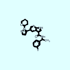 CC(NC(=O)c1c[nH]c2ncc(-c3ccnn3C3CCCCO3)cc12)c1cccc(F)c1